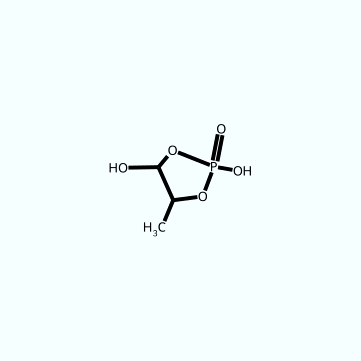 CC1OP(=O)(O)OC1O